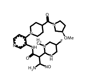 CO[C@@H]1CCN(C(=O)C2CCN(c3ccncc3NC(=O)C(C(N)N=O)C3NCC(F)CN3C)CC2)C1